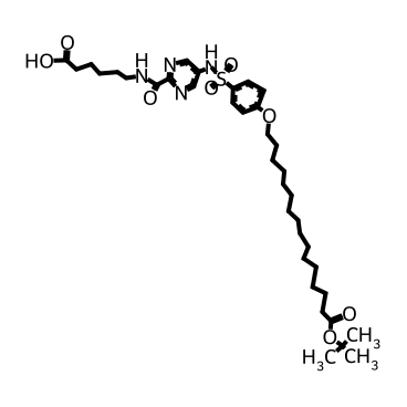 CC(C)(C)OC(=O)CCCCCCCCCCCCCCCOc1ccc(S(=O)(=O)Nc2cnc(C(=O)NCCCCCC(=O)O)nc2)cc1